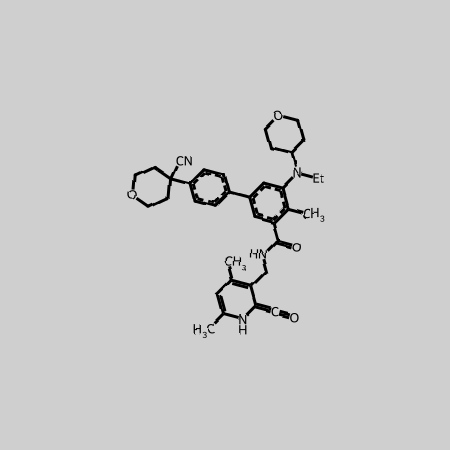 CCN(c1cc(-c2ccc(C3(C#N)CCOCC3)cc2)cc(C(=O)NCC2=C(C)C=C(C)NC2=C=O)c1C)C1CCOCC1